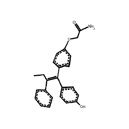 CCC(=C(c1ccc(O)cc1)c1ccc(OCC(N)=O)cc1)c1ccccc1